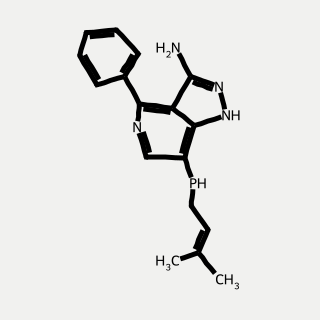 CC(C)=CCPc1cnc(-c2ccccc2)c2c(N)n[nH]c12